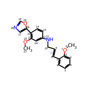 COc1ccccc1/C=C/CNc1ccc(-c2cnco2)c(OC)c1